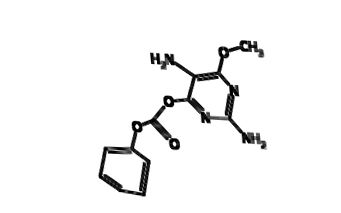 COc1nc(N)nc(OC(=O)Oc2ccccc2)c1N